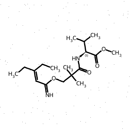 CCC(=CC(=N)OCC(C)(C)C(=O)N[C@H](C(=O)OC)C(C)C)CC